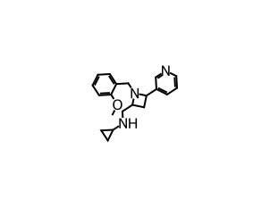 COc1ccccc1CN1C(CNC2CC2)CC1c1cccnc1